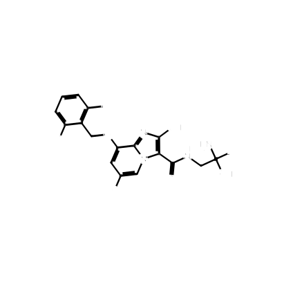 CCC(N)(O)CNC(=O)c1c(C)nc2c(OCc3c(F)cccc3F)cc(C)cn12